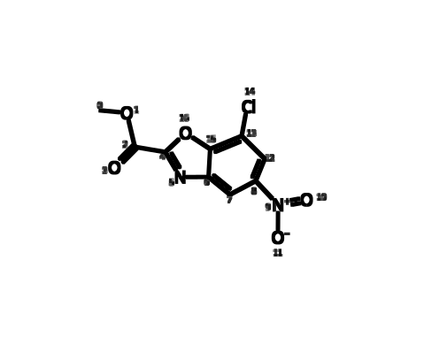 COC(=O)c1nc2cc([N+](=O)[O-])cc(Cl)c2o1